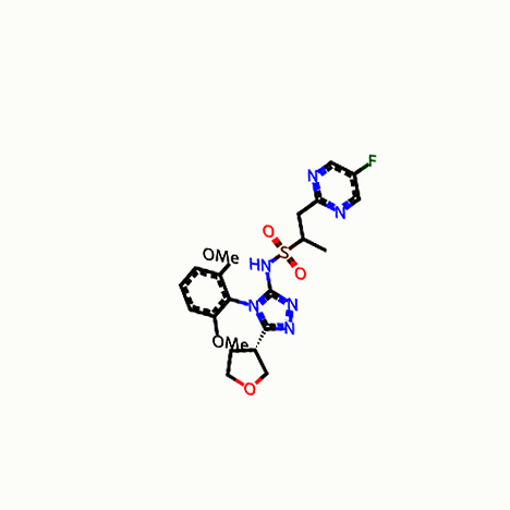 COc1cccc(OC)c1-n1c(NS(=O)(=O)C(C)Cc2ncc(F)cn2)nnc1[C@H]1CCOC1